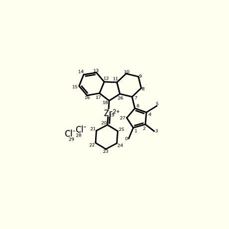 CC1=C(C)C(C)=C(C2CCCC3C4C=CC=CC4[CH]([Zr+2]=[C]4CCCCC4)C23)C1.[Cl-].[Cl-]